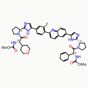 COC(=O)N[C@H](C(=O)N1CCC[C@H]1c1ncc(-c2ccc(-c3ccc4cc(-c5cnc([C@@H]6CCCN6C(=O)[C@H](NC(=O)OC)C6C=CCC=C6)[nH]5)ccc4n3)c(F)c2)[nH]1)C1CCOCC1